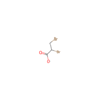 [O]C(=O)C(Br)CBr